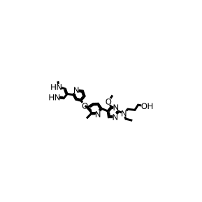 CCN(CCCO)c1ncc(-c2ccc(Oc3ccnc(/C(C=N)=C/NC)c3)c(C)n2)c(OC)n1